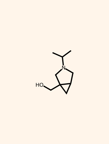 CC(C)N1CC2CC2(CO)C1